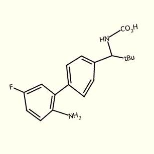 CC(C)(C)C(NC(=O)O)c1ccc(-c2cc(F)ccc2N)cc1